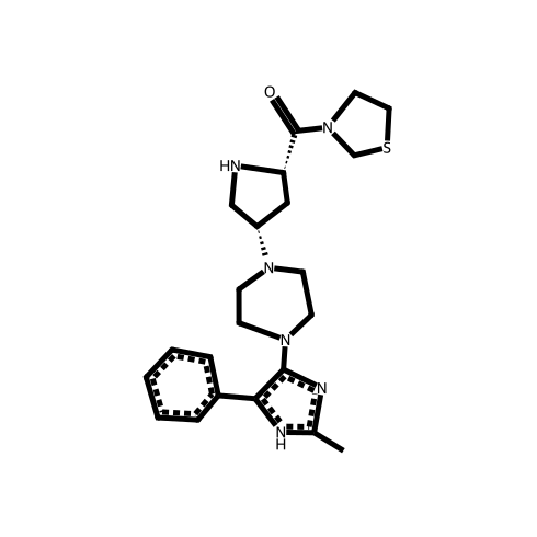 Cc1nc(N2CCN([C@@H]3CN[C@H](C(=O)N4CCSC4)C3)CC2)c(-c2ccccc2)[nH]1